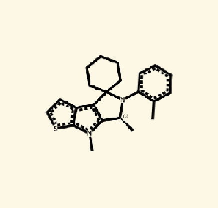 Cc1ccccc1N1[C@@H](C)c2c(c3ccsc3n2C)C12CCCCC2